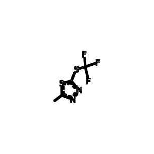 Cc1nnc(SC(F)(F)F)s1